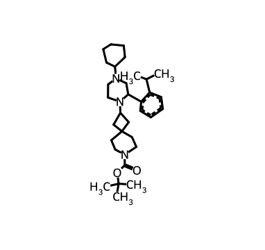 CC(C)c1ccccc1C1CN(C2CCCCC2)CCN1C1CC2(CCN(C(=O)OC(C)(C)C)CC2)C1